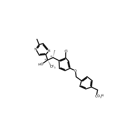 Cc1cnc([C@](O)([C@H](C)c2ccc(OCc3ccc(CC(=O)O)cc3)cc2Cl)C(F)(F)F)cn1